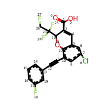 O=C(O)C1=Cc2cc(Cl)cc(C#Cc3cccc(F)c3)c2OC1C(F)(F)CF